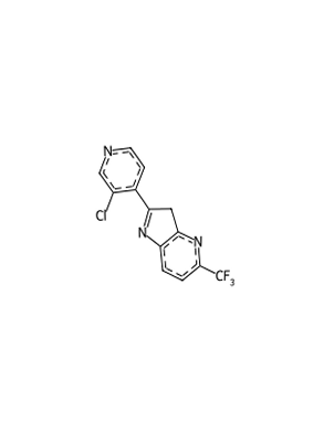 FC(F)(F)c1ccc2c(n1)CC(c1ccncc1Cl)=N2